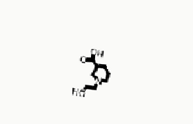 O=C(O)C1CCCN(CCO)C1